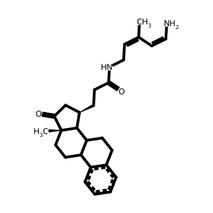 CC(/C=C\N)=C/CNC(=O)CC[C@@H]1CC(=O)[C@@]2(C)CCC3c4ccccc4CCC3C12